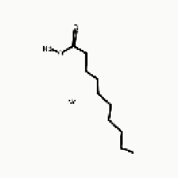 CCCCCCCCCC(=O)[O][Nd].[Nd]